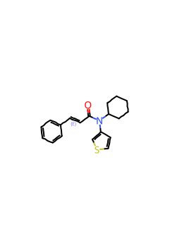 O=C(/C=C/c1ccccc1)N(c1ccsc1)C1CCCCC1